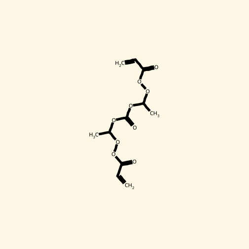 C=CC(=O)OOC(C)OC(=O)OC(C)OOC(=O)C=C